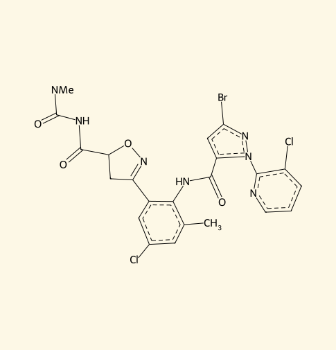 CNC(=O)NC(=O)C1CC(c2cc(Cl)cc(C)c2NC(=O)c2cc(Br)nn2-c2ncccc2Cl)=NO1